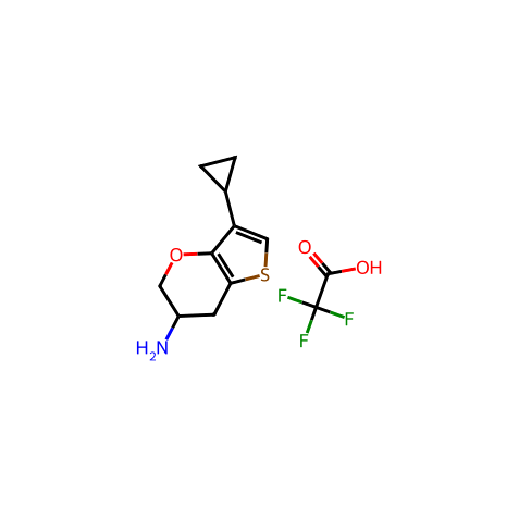 NC1COc2c(C3CC3)csc2C1.O=C(O)C(F)(F)F